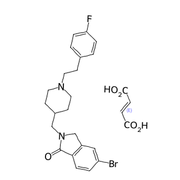 O=C(O)/C=C/C(=O)O.O=C1c2ccc(Br)cc2CN1CC1CCN(CCc2ccc(F)cc2)CC1